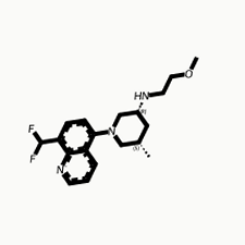 COCCN[C@@H]1C[C@H](C)CN(c2ccc(C(F)F)c3ncccc23)C1